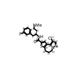 CNCC[C@H](Cc1cccc(F)c1)NC(=O)c1cc2c(s1)CCCn1ncc(Cl)c1-2